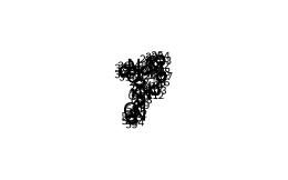 CC1(C)c2ccccc2N(c2cccc(-c3cccc(N4c5ccccc5C(C)(C)c5cc(-c6nc7ccccc7o6)ccc54)c3)c2)c2ccc(-c3nc4ccccc4o3)cc21